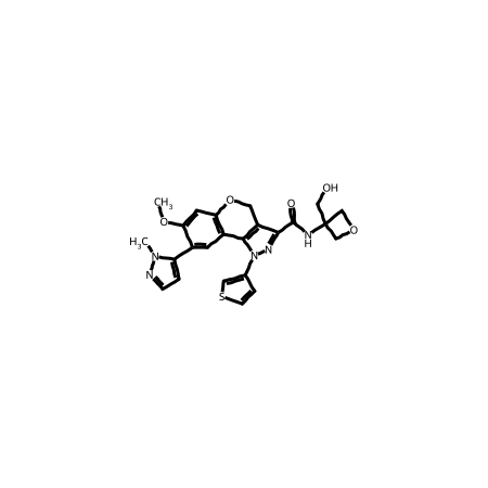 COc1cc2c(cc1-c1ccnn1C)-c1c(c(C(=O)NC3(CO)COC3)nn1-c1ccsc1)CO2